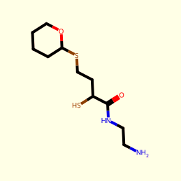 NCCNC(=O)C(S)CCSC1CCCCO1